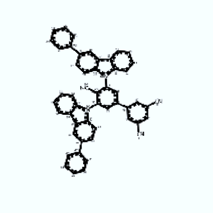 N#Cc1cc(C#N)cc(-c2cc(-n3c4ccccc4c4cc(-c5ccccc5)ccc43)c(C#N)c(-n3c4ccccc4c4cc(-c5ccccc5)ccc43)c2)c1